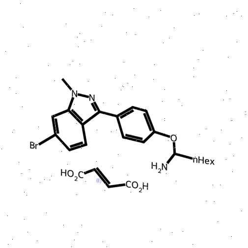 CCCCCCC(N)Oc1ccc(-c2nn(C)c3cc(Br)ccc23)cc1.O=C(O)/C=C/C(=O)O